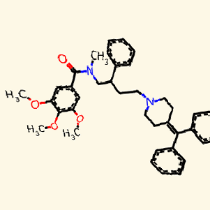 COc1cc(C(=O)N(C)CC(CCN2CCC(=C(c3ccccc3)c3ccccc3)CC2)c2ccccc2)cc(OC)c1OC